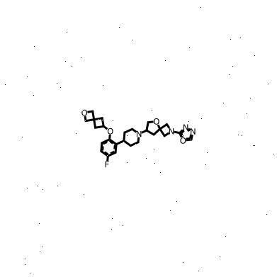 Fc1ccc(OC2CC3(COC3)C2)c(C2CCN(C3COC4(C3)CN(c3nnco3)C4)CC2)c1